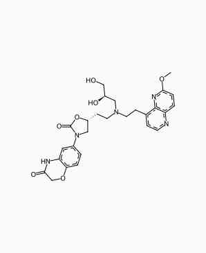 COc1ccc2nccc(CCN(CC[C@@H]3CN(c4ccc5c(c4)NC(=O)CO5)C(=O)O3)C[C@@H](O)CO)c2n1